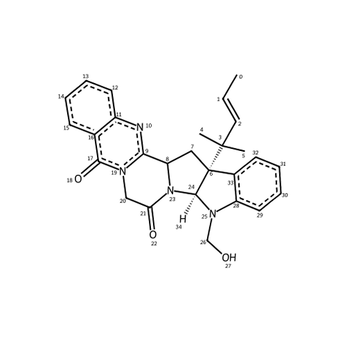 CC=CC(C)(C)[C@@]12CC3c4nc5ccccc5c(=O)n4CC(=O)N3[C@@H]1N(CO)c1ccccc12